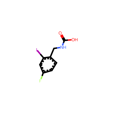 O=C(O)NCc1ccc(F)cc1I